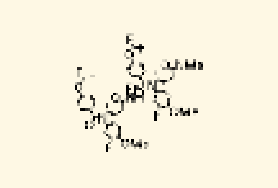 CCNC(=O)Cc1c(C)n(C(=O)c2ccc(OC(F)F)cc2)c2cc(F)c(OC)cc12.CNC(=O)Cc1c(C)n(C(=O)c2ccc(OC(F)F)cc2)c2cc(F)c(OC)cc12